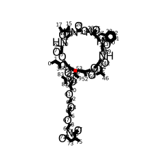 C/C=C(\C)[C@H]1OC(=O)[C@@H](C)NC(=O)[C@H](C(C)CC)NC(=O)CN(C)C(=O)[C@@H](Cc2ccccc2)N(C)C(=O)[C@H](C)NC(=O)[C@@H](CC(C)C)OC(=O)/C(C)=C/C[C@H](O[Si](OCCOCCOCCOCCN2C(=O)CC(C)C2=O)(C(C)C)C(C)C)[C@@H]1C